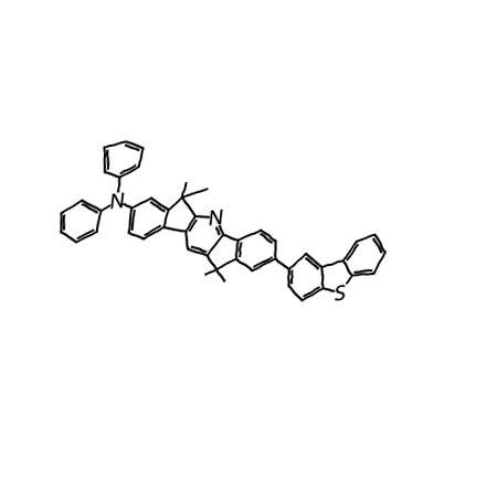 CC1(C)c2cc(-c3ccc4sc5ccccc5c4c3)ccc2-c2nc3c(cc21)-c1ccc(N(c2ccccc2)c2ccccc2)cc1C3(C)C